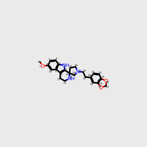 COc1ccc2[nH]c3c(c2c1)CCNC31CCN(CCc2ccc3c(c2)OCO3)C1